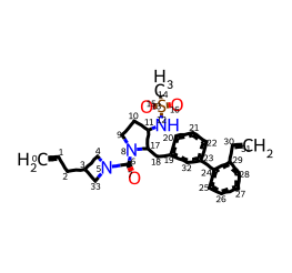 C=CCC1CN(C(=O)N2CCC(NS(C)(=O)=O)C2Cc2cccc(-c3ccccc3C=C)c2)C1